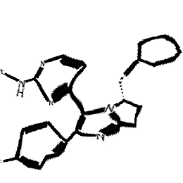 CCNc1nccc(-c2c(-c3ccc(F)cc3)nc3n2[C@H](C=C2CCCC2)CC3)n1